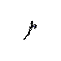 [C-]#[N+]/C(C(=O)OC)=C1/Sc2c(OC(=O)C3CCC(C)CC3)ccc(OC(=O)C3CCC(OC(=O)C4CCC(OCCCCCCOC(=O)C=C)CC4)CC3)c2S1